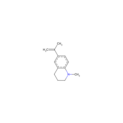 C=C(C)c1ccc2c(c1)CCCN2C